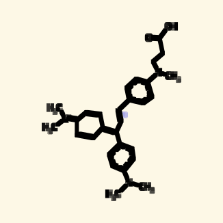 CN(C)c1ccc(C(/C=C/c2ccc(N(C)CCC(=O)O)cc2)=C2C=CC(=[N+](C)C)C=C2)cc1